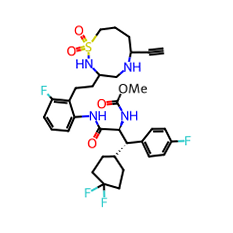 C#CC1CCCS(=O)(=O)NC(CCc2c(F)cccc2NC(=O)[C@@H](NC(=O)OC)[C@H](c2ccc(F)cc2)C2CCC(F)(F)CC2)CN1